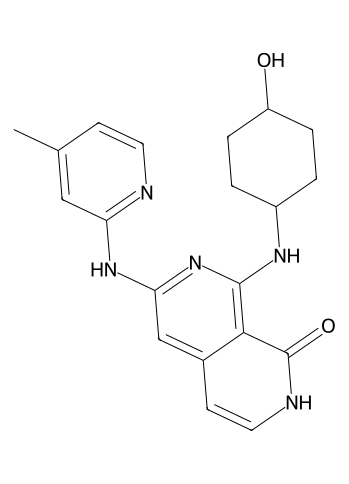 Cc1ccnc(Nc2cc3cc[nH]c(=O)c3c(NC3CCC(O)CC3)n2)c1